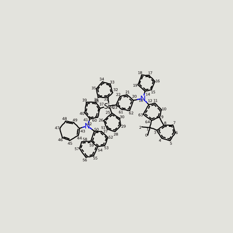 CC1(C)c2ccccc2-c2ccc(N(c3ccccc3)c3ccc([Si](c4ccccc4)(c4ccccc4)c4cccc(N(C5=CC=CCC=C5)c5cccc6ccccc56)c4)cc3)cc21